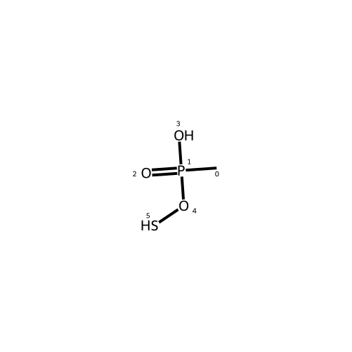 CP(=O)(O)OS